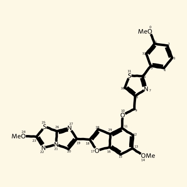 COc1cccc(-c2nc(COc3cc(OC)cc4oc(-c5cn6nc(OC)sc6n5)cc34)cs2)c1